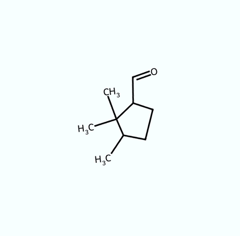 CC1CCC(C=O)C1(C)C